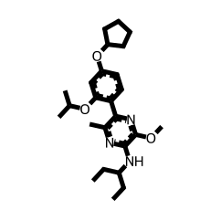 CCC(CC)Nc1nc(C)c(-c2ccc(OC3CCCC3)cc2OC(C)C)nc1OC